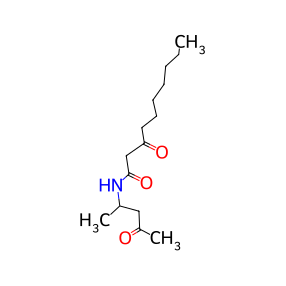 CCCCCCCC(=O)CC(=O)NC(C)CC(C)=O